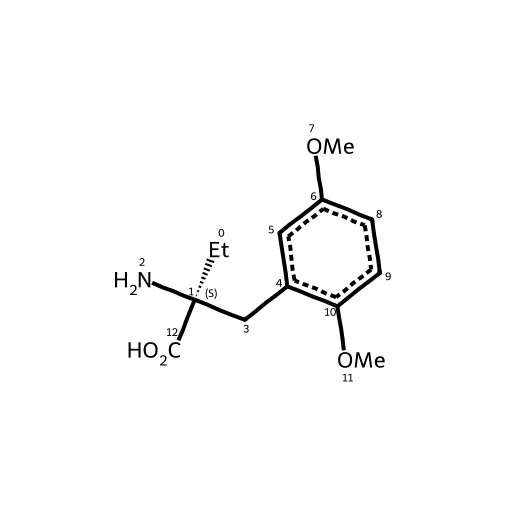 CC[C@](N)(Cc1cc(OC)ccc1OC)C(=O)O